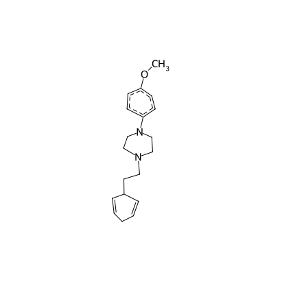 COc1ccc(N2CCN(CCC3C=CCC=C3)CC2)cc1